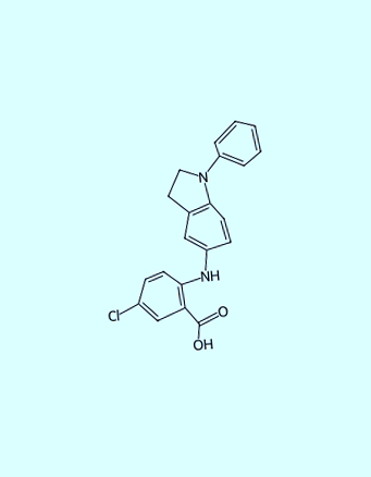 O=C(O)c1cc(Cl)ccc1Nc1ccc2c(c1)CCN2c1ccccc1